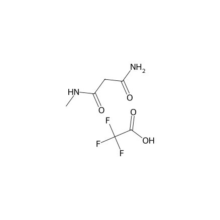 CNC(=O)CC(N)=O.O=C(O)C(F)(F)F